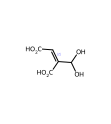 O=C(O)/C=C(\C(=O)O)C(O)O